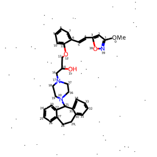 COc1cc(C=Cc2ccccc2OCC(O)CN2CCN(C3c4ccccc4CCc4ccccc43)CC2)on1